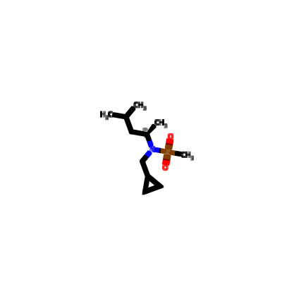 CC(C)C[C@@H](C)N(CC1CC1)S(C)(=O)=O